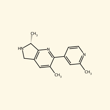 Cc1cc(-c2nc3c(cc2C)CN[C@@H]3C)ccn1